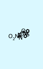 CC(COC(=O)N1c2ccccc2Sc2ccccc21)n1cncc1[N+](=O)[O-]